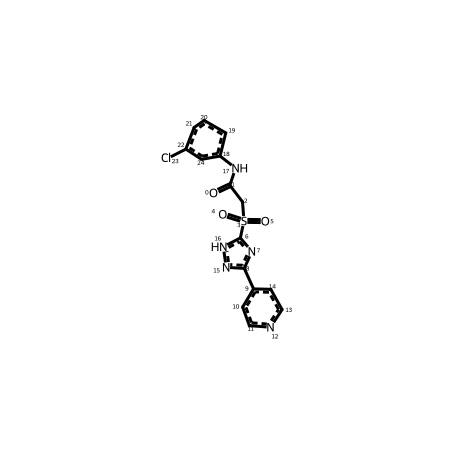 O=C(CS(=O)(=O)c1nc(-c2ccncc2)n[nH]1)Nc1cccc(Cl)c1